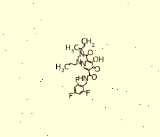 C=CCN1CN([C@@H](C)C=C)C(=O)c2c(O)c(=O)c(C(=O)NCc3c(F)cc(F)cc3F)cn21